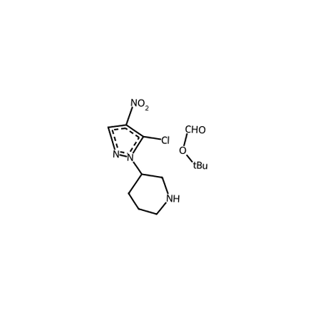 CC(C)(C)OC=O.O=[N+]([O-])c1cnn(C2CCCNC2)c1Cl